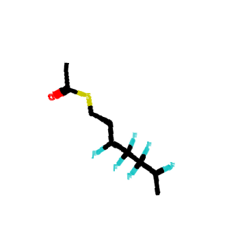 CC(=O)SCCC(F)C(F)(F)C(F)(F)C(C)F